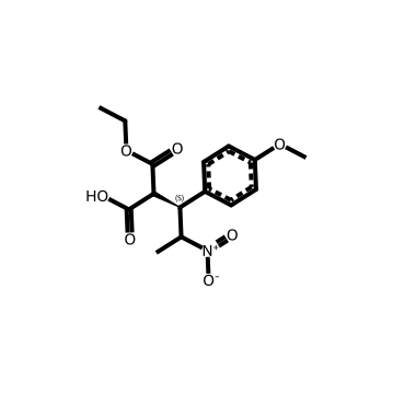 CCOC(=O)C(C(=O)O)[C@@H](c1ccc(OC)cc1)C(C)[N+](=O)[O-]